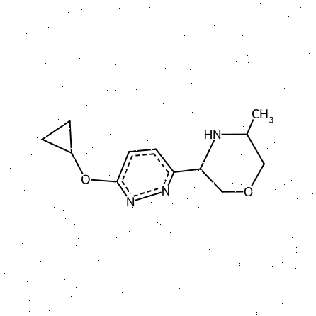 CC1COCC(c2ccc(OC3CC3)nn2)N1